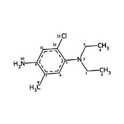 CCN(CC)c1cc(C)c(N)cc1Cl